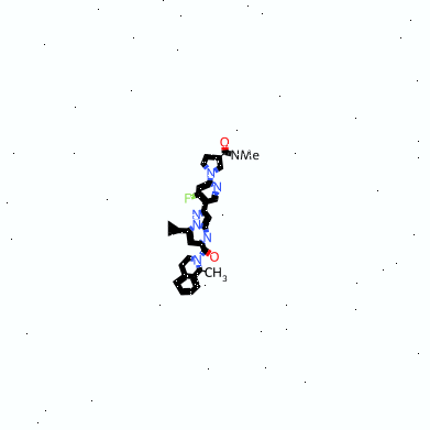 CNC(=O)[C@H]1CCN(c2cc(F)c(-c3cc4nc(C(=O)N5CCc6ccccc6[C@H]5C)cc(C5CC5)n4n3)cn2)C1